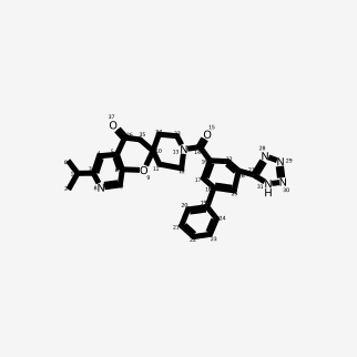 CC(C)c1cc2c(cn1)OC1(CCN(C(=O)c3cc(-c4ccccc4)cc(-c4nnn[nH]4)c3)CC1)CC2=O